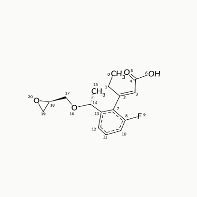 CC/C(=C\C(=O)O)c1c(F)cccc1[C@@H](C)OC[C@H]1CO1